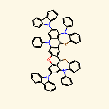 c1ccc(N2c3ccccc3SB3c4cc5c(cc4Oc4cc(-n6c7ccccc7c7ccccc76)cc2c43)N(c2ccccc2)c2cc(-n3c4ccccc4c4ccccc43)cc3c2B5Sc2ccccc2N3c2ccccc2)cc1